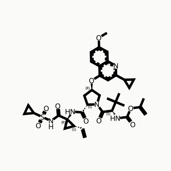 C=C[C@@H]1C[C@]1(NC(=O)[C@@H]1C[C@@H](Oc2cc(C3CC3)nc3cc(OC)ccc23)CN1C(=O)[C@@H](NC(=O)OC(=C)C)C(C)(C)C)C(=O)NS(=O)(=O)C1CC1